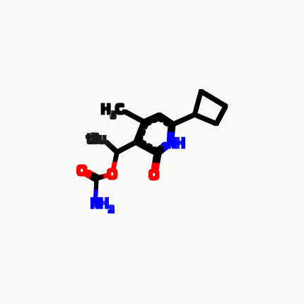 Cc1cc(C2CCC2)[nH]c(=O)c1C(OC(N)=O)C(C)(C)C